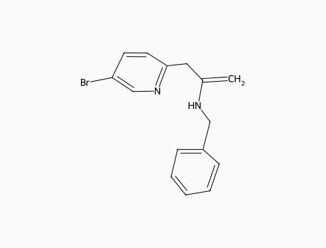 C=C(Cc1ccc(Br)cn1)NCc1ccccc1